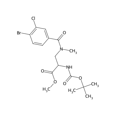 COC(=O)C(CN(C)C(=O)c1ccc(Br)c(Cl)c1)NC(=O)OC(C)(C)C